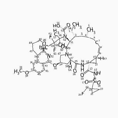 CC[C@@H]1C[C@H](C)CCC=C[C@@H]2C[C@@]2(C(=O)NS(=O)(=O)C2(CF)CC2)NC(=O)[C@@H]2C[C@@H](Oc3nc4c(c5cc(OC)ccc35)CCCO4)CN2C(=O)[C@H]1N(C(=O)O)C(C)(C)C(C)(F)F